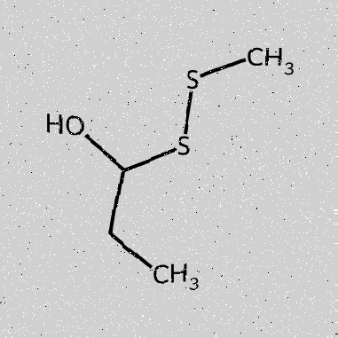 CCC(O)SSC